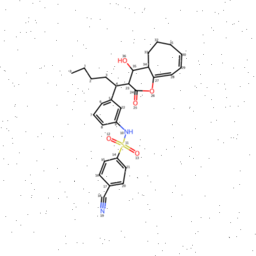 CCCCC(c1cccc(NS(=O)(=O)c2ccc(C#N)cc2)c1)C1C(=O)OC2=CC=CCCCC2C1O